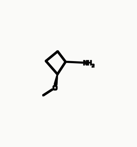 CO[C@H]1CCC1N